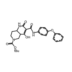 CC(C)(C)OC(=O)N1CCC2NC(=O)C(C(=O)Nc3ccc(Oc4ccccc4)cc3)=C(O)C2C1